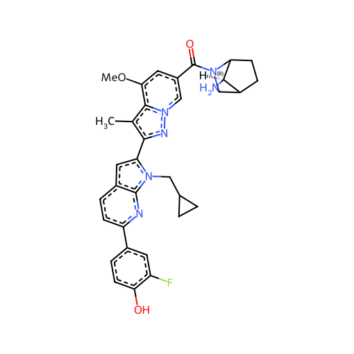 COc1cc(C(=O)N2CC3CCC2[C@@H]3N)cn2nc(-c3cc4ccc(-c5ccc(O)c(F)c5)nc4n3CC3CC3)c(C)c12